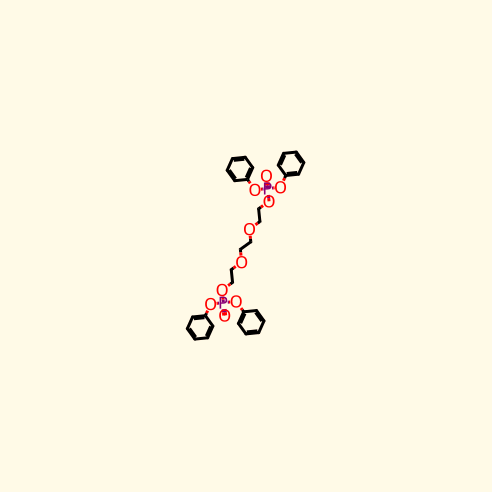 O=P(OCCOCCOCCOP(=O)(Oc1ccccc1)Oc1ccccc1)(Oc1ccccc1)Oc1ccccc1